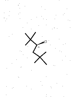 CC(C)(C)C[C@H](Cl)C(C)(C)C